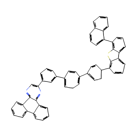 C1=CC(c2cccc(-c3cnc4c5ccccc5c5ccccc5c4n3)c2)=CCC=C1C1=CCC(c2cccc3c2sc2c(-c4cccc5ccccc45)cccc23)C=C1